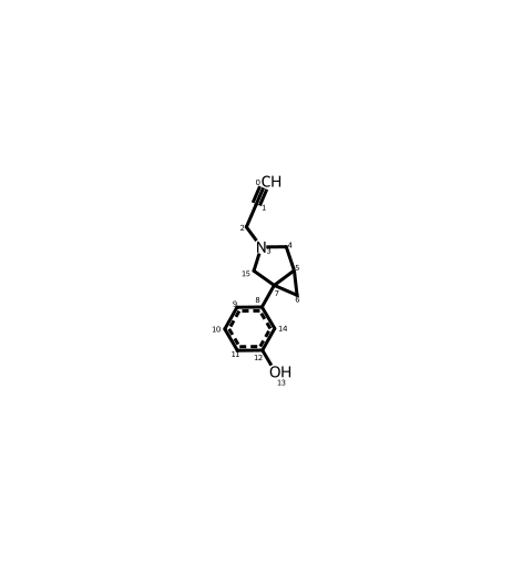 C#CCN1CC2CC2(c2cccc(O)c2)C1